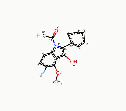 COc1c(F)ccc2c1c(O)c(-c1ccccc1)n2C(C)=O